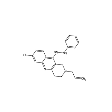 C=CCN1CCc2nc3cc(Cl)ccc3c(NNc3ccccc3)c2C1